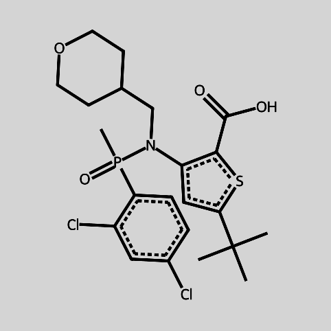 CC(C)(C)c1cc(N(CC2CCOCC2)P(C)(=O)c2ccc(Cl)cc2Cl)c(C(=O)O)s1